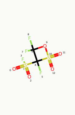 O=S(=O)(F)C1(F)C(F)(F)OS1(=O)=O